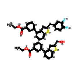 CCOC(=O)c1cccc(-c2cccc3sc(CO)cc23)c1.CCOC(=O)c1cccc(-c2cccc3sc(Cc4ccc(F)c(F)c4)cc23)c1